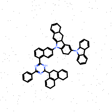 C1=CCC2CC3C(=CC2=C1)N(c1ccc2c(C4=NC(c5ccccc5)=NC(C5CC6=C(CCC=C6)C6=C5C=CCC6)N4)cccc2c1)C1=C3C=C(N2c3ccccc3C3C=CC=CC32)CC1